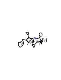 Cc1[nH]c(/C=C2/C(=O)NN=C2C2CC2)c(C2CC2)c1CN1CCCC1